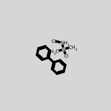 C[Si](C)(Cl)[SiH2]Cl.c1ccc(-c2ccccc2)cc1